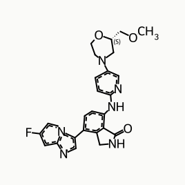 COC[C@@H]1CN(c2ccc(Nc3ccc(-c4cnc5cc(F)ccn45)c4c3C(=O)NC4)nc2)CCO1